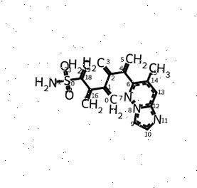 C=C(C(=C)C(=C)c1nn2ccnc2cc1C)C(=C)C(=C)S(N)(=O)=O